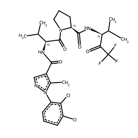 Cc1c(C(=O)N[C@H](C(=O)N2CCC[C@H]2C(=O)N[C@H](C(=O)C(F)(F)F)C(C)C)C(C)C)cnn1-c1cccc(Cl)c1Cl